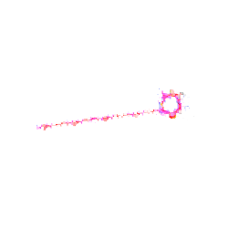 CCCC[C@@H]1NC(=O)[C@H](CSC(C)(C)C)NC(=O)[C@H](CCCCN)NC(=O)CSC[C@@H](C(=O)NCCOCCOCCOCCNC(=O)COCC(=O)NCCOCCOCCOCCNC(=O)COCC(=O)NCCOCCOCCOCCNC(=O)COCC(=O)NCCOCCOCCOCCNC(=O)COCC(N)=O)NC(=O)[C@H](Cc2ccccc2)NC(=O)[C@H](CSC(C)(C)C)NC(=O)[C@H](CC(=O)O)NC(=O)CNC1=O